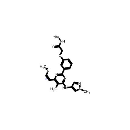 C=N/C=C\c1nc(-c2cccc(OCC(=O)NC(C)(C)C)c2)nc(Nc2cnn(C)c2)c1C